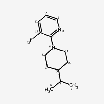 CC(C)C1CCN(c2ncccc2F)CC1